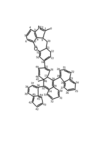 CC1=Nc2cccc3c2C1CC1CC=C(C2=CC4C(c5cccc6ccccc56)=c5ccccc5=C(c5cccc6ccccc56)C4(C)C=C2)C=C1O3